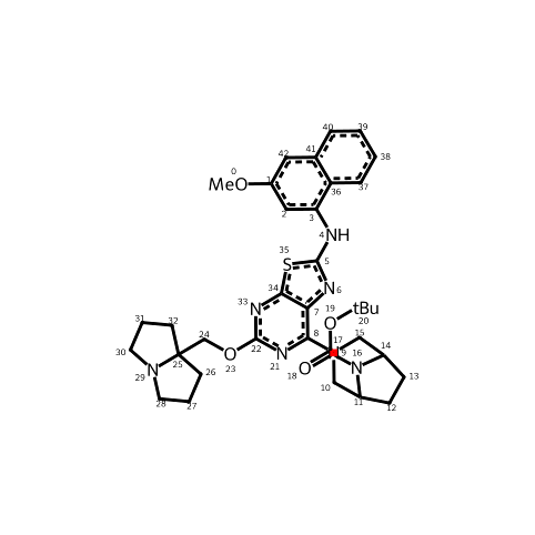 COc1cc(Nc2nc3c(N4CC5CCC(C4)N5C(=O)OC(C)(C)C)nc(OCC45CCCN4CCC5)nc3s2)c2ccccc2c1